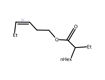 CC/C=C\CCOC(=O)C(CC)CCCCCC